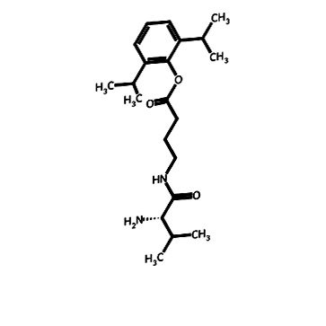 CC(C)c1cccc(C(C)C)c1OC(=O)CCCNC(=O)[C@@H](N)C(C)C